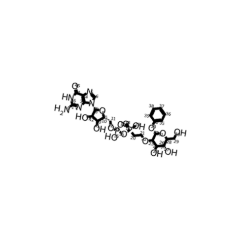 Nc1nc2c(ncn2[C@@H]2O[C@H](COP(=O)(O)OP(=O)(O)CCOC3C(O)[C@@H](O)C(CO)O[C@H]3Oc3ccccc3)C(O)C2O)c(=O)[nH]1